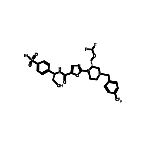 CCS(=O)(=O)c1ccc([C@H](CO)NC(=O)c2cnc(N3CCN(Cc4ccc(C(F)(F)F)cc4)C[C@H]3COC(F)F)o2)cc1